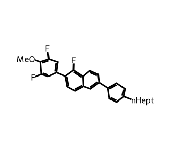 CCCCCCCc1ccc(-c2ccc3c(F)c(-c4cc(F)c(OC)c(F)c4)ccc3c2)cc1